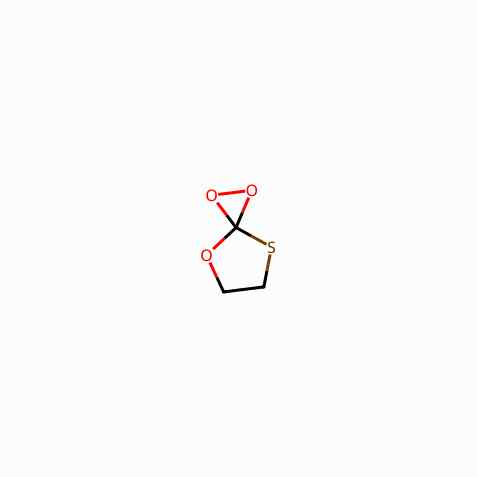 C1CSC2(O1)OO2